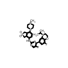 CC(C)N1CCOc2c(F)cc(-c3nc(Nc4ccc(N5CCN(C)CC5)c5c4CS(=O)(=O)C5)ncc3F)cc21